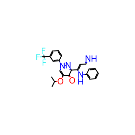 CC(C)Oc1cn(-c2cccc(C(F)(F)F)c2)nc(/C(=C/C=N)Nc2ccccc2)c1=O